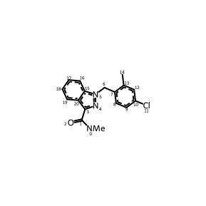 CNC(=O)c1nn(Cc2ccc(Cl)cc2C)c2ccccc12